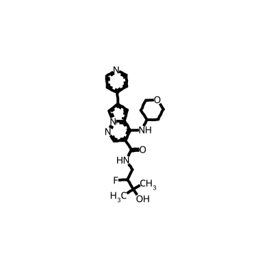 CC(C)(O)C(F)CNC(=O)c1cnn2cc(-c3ccncc3)cc2c1NC1CCOCC1